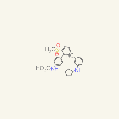 CS(=O)(=O)c1ccccc1-c1ccc(NC(=O)O)cc1.N#Cc1cccc(NC2CCCC2)c1